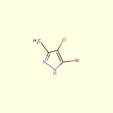 Cc1n[nH]c(Br)c1Cl